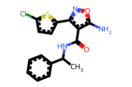 CC(NC(=O)c1c(-c2ccc(Cl)s2)noc1N)c1ccccc1